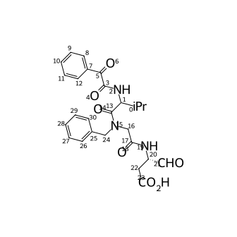 CC(C)C(NC(=O)C(=O)c1ccccc1)C(=O)N(CC(=O)N[C@H](C=O)CC(=O)O)Cc1ccccc1